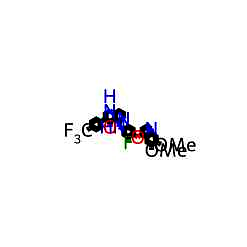 COc1cc2nccc(Oc3ccc(Nc4nccc5[nH]cc(-c6ccc(C(F)(F)F)cc6)c(=O)c45)cc3F)c2cc1OC